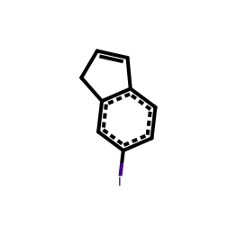 Ic1ccc2c(c1)CC=C2